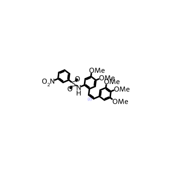 COc1cc(/C=C\c2cc(OC)c(OC)c(OC)c2)c(NS(=O)(=O)c2cccc([N+](=O)[O-])c2)cc1OC